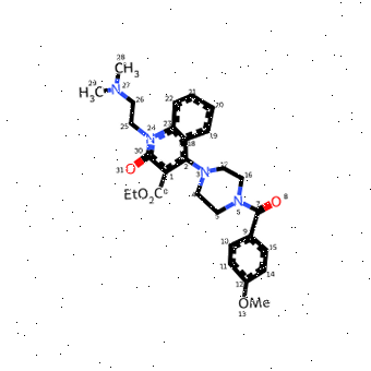 CCOC(=O)c1c(N2CCN(C(=O)c3ccc(OC)cc3)CC2)c2ccccc2n(CCN(C)C)c1=O